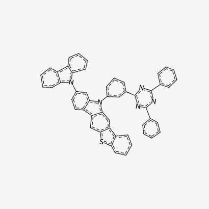 c1ccc(-c2nc(-c3ccccc3)nc(-c3cccc(-n4c5cc(-n6c7ccccc7c7ccccc76)ccc5c5cc6sc7ccccc7c6cc54)c3)n2)cc1